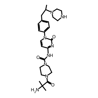 CC(Cc1ccc(-n2ccc(NC(=O)N3CCN(C(=O)C(C)(C)N)CC3)nc2=O)cc1)N1CCNCC1